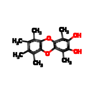 Cc1c(C)c(C)c2c(c1C)Oc1c(C)c(O)c(O)c(C)c1O2